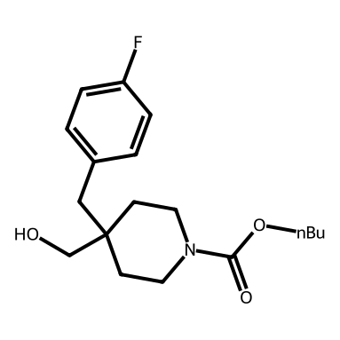 CCCCOC(=O)N1CCC(CO)(Cc2ccc(F)cc2)CC1